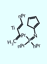 C=CC=CCCC.CCCP(CCC)(CCC)=NC1=CC=CC1.[Ti]